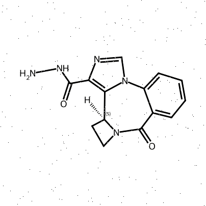 NNC(=O)c1ncn2c1[C@@H]1CCN1C(=O)c1ccccc1-2